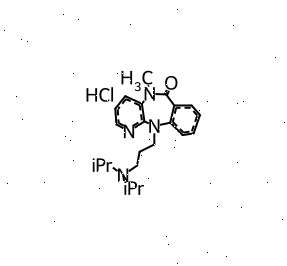 CC(C)N(CCCN1c2ccccc2C(=O)N(C)c2cccnc21)C(C)C.Cl